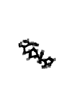 CCCCN(CCCC)C(CC)Oc1ccc(S(=O)(=O)c2ccoc2C(C)C)cc1